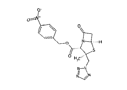 C[C@@]1(Cn2ncnn2)S[C@@H]2CC(=O)N2[C@H]1C(=O)OCc1ccc([N+](=O)[O-])cc1